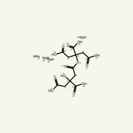 O=C(O)CC(O)(CC(=O)OC(CC(=O)O)(CC(=O)O)C(=O)O)C(=O)O.[NaH].[NaH].[NaH].[NaH]